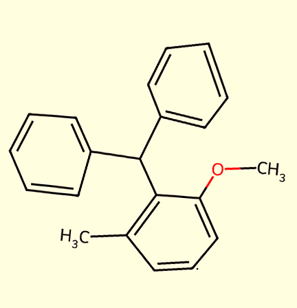 COc1c[c]cc(C)c1C(c1ccccc1)c1ccccc1